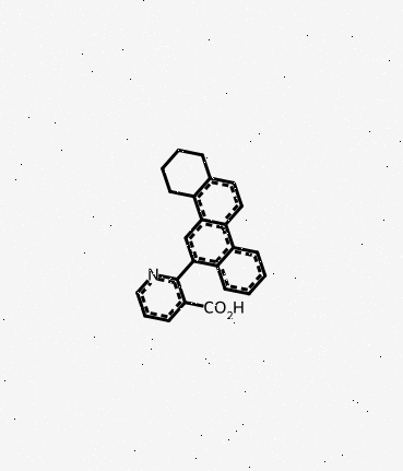 O=C(O)c1cccnc1-c1cc2c3c(ccc2c2ccccc12)CCCC3